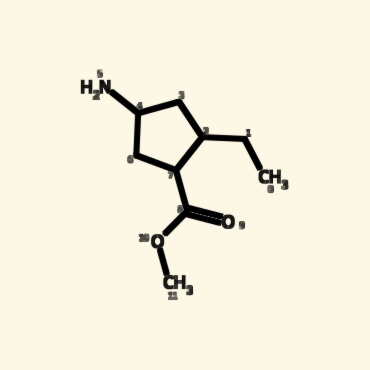 CCC1CC(N)CC1C(=O)OC